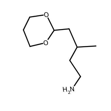 CC(CCN)CC1OCCCO1